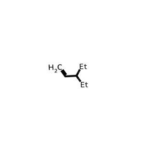 [CH2]CC(C=C)CC